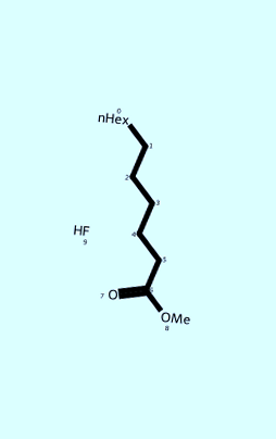 CCCCCCCCCCCC(=O)OC.F